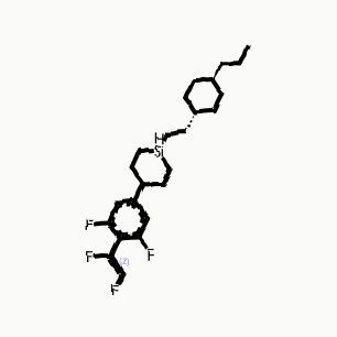 CCC[C@H]1CC[C@H](CC[SiH]2CCC(c3cc(F)c(/C(F)=C/F)c(F)c3)CC2)CC1